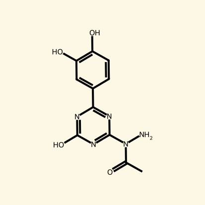 CC(=O)N(N)c1nc(O)nc(-c2ccc(O)c(O)c2)n1